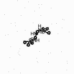 O=C(Nc1ccc(-c2cc3cc(NC(=O)[C@@H]4CCCN4C(=O)C(Cc4ccccc4)c4ccccc4)ccc3[nH]2)cc1)[C@@H]1CCCN1C(=O)C(Cc1ccccc1)c1ccccc1